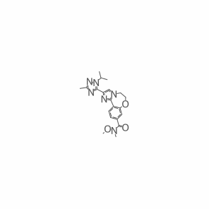 CON(C)C(=O)c1ccc2c(c1)OCCn1cc(-c3nc(C)nn3C(C)C)nc1-2